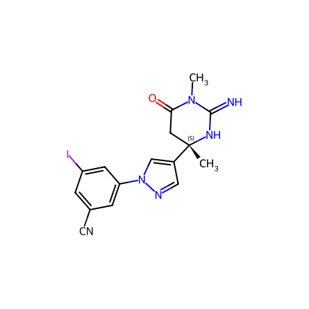 CN1C(=N)N[C@](C)(c2cnn(-c3cc(I)cc(C#N)c3)c2)CC1=O